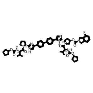 CC(C)[C@H](NC(=O)OC1CCCC1)C(=O)N1CCC[C@H]1c1nc(-c2ccc(-c3ccc(-c4cnc([C@@H]5C[C@@H](OC(=O)N6Cc7cccc(F)c7C6)CN5C(=O)[C@@H](NC(=O)OC5CCCC5)C(C)C)[nH]4)cc3)cc2)c[nH]1